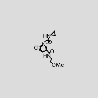 COCCNC(=O)c1ccc[n+](CC(=O)NC2CC2)c1.[Cl-]